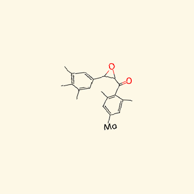 Cc1cc(C2OC2C(=O)c2c(C)c[c]([Mo])cc2C)cc(C)c1C